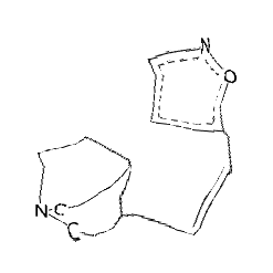 C(=C/C1CCN2CCC1CC2)/c1ccno1